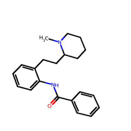 CN1CCCCC1CCc1ccccc1NC(=O)c1ccccc1